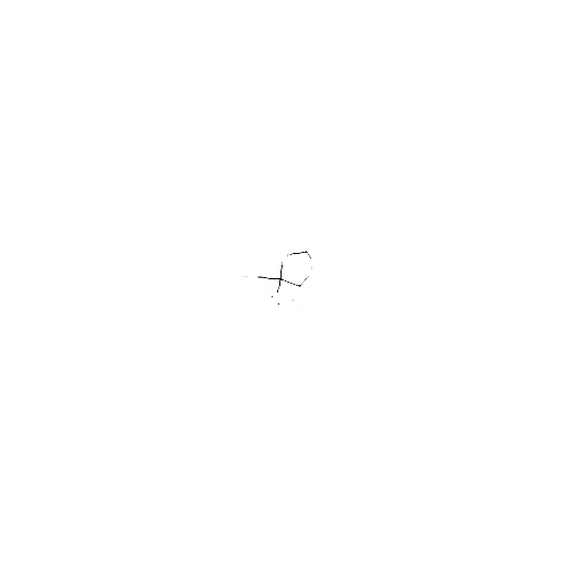 O=[N+]([O-])C1(Br)COCO1